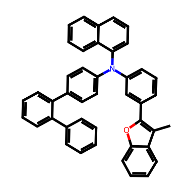 Cc1c(-c2cccc(N(c3ccc(-c4ccccc4-c4ccccc4)cc3)c3cccc4ccccc34)c2)oc2ccccc12